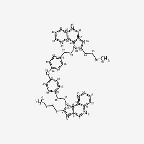 CCCCc1nc2cnc3cccnc3c2n1CCc1ccc(Oc2ccc(CCn3c(CCCC)nc4cnc5cccnc5c43)cc2)cc1